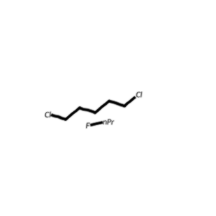 CCCF.ClCCCCCCl